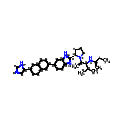 C=C(CC)N[C@H](C(=C)N1CCC[C@H]1c1nc2ccc(-c3ccc4cc(-c5cnc[nH]5)ccc4c3)cc2[nH]1)C(C)C